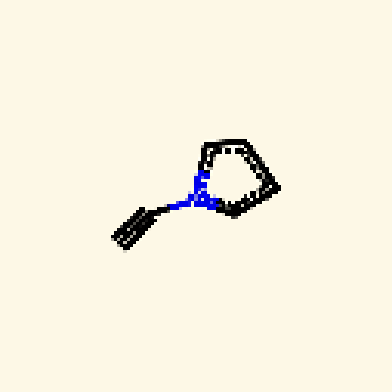 C#Cn1cccc1